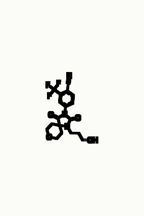 N#Cc1ccc(N2C(=O)N(CCCO)C3(CCOCC3)C2=O)cc1C(F)(F)F